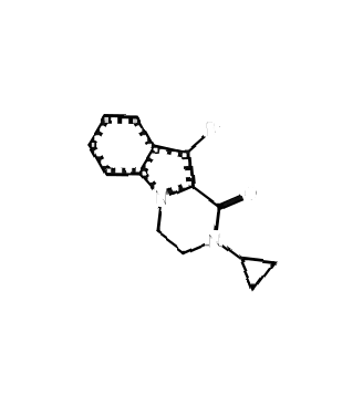 O=C1c2c(Br)c3ccccc3n2CCN1C1CC1